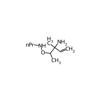 C=CC(C)(N)C(C)ONCCC